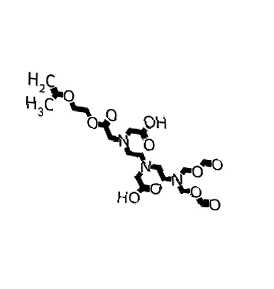 C=C(C)OCCOC(=O)CN(CCN(CCN(COC=O)COC=O)CC(=O)O)CC(=O)O